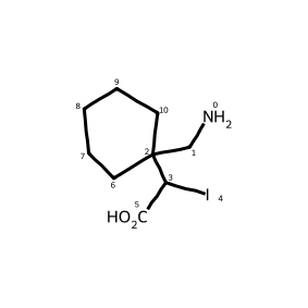 NCC1(C(I)C(=O)O)CCCCC1